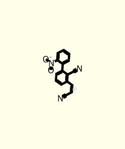 N#C/C=C\c1cccc(-c2ccccc2[N+](=O)[O-])c1C#N